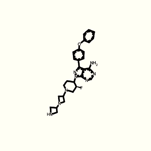 Nc1ncnc2c1c(-c1ccc(Oc3ccccc3)cc1)nn2C1CCN(C2CN(C3CNC3)C2)C[C@@H]1F